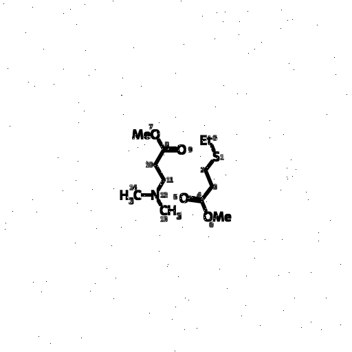 CCSCCC(=O)OC.COC(=O)CCN(C)C